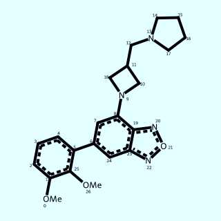 COc1cccc(-c2cc(N3CC(CN4CCCC4)C3)c3nonc3c2)c1OC